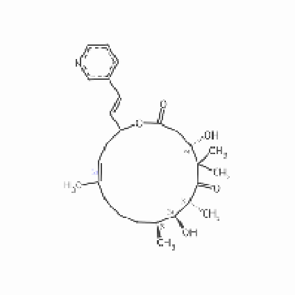 C/C1=C/CC(C=Cc2cccnc2)OC(=O)C[C@H](O)C(C)(C)C(=O)[C@H](C)[C@@H](O)[C@@H](C)CCC1